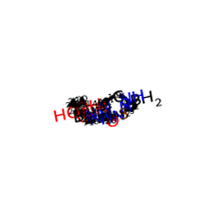 Bc1ccc2nc1NCCCC1CN(c3nc(-n4ccc(OC(O)(O)C(B)(O)C5C6(CC6)C56CC6)n4)ccc3C(=O)NS2)C(C)(C)C1